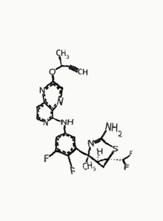 C#C[C@H](C)Oc1cnc2c(Nc3cc(F)c(F)c([C@]4(C)N=C(N)S[C@@]5(C(F)F)C[C@@H]45)c3)nccc2n1